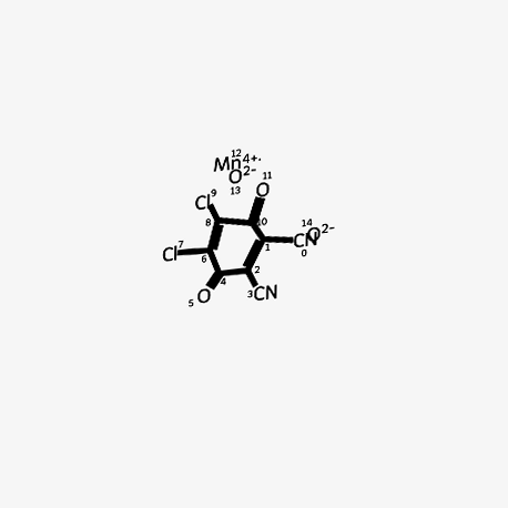 N#CC1=C(C#N)C(=O)C(Cl)=C(Cl)C1=O.[Mn+4].[O-2].[O-2]